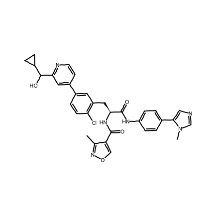 Cc1nocc1C(=O)N[C@@H](Cc1cc(-c2ccnc(C(O)C3CC3)c2)ccc1Cl)C(=O)Nc1ccc(-c2cncn2C)cc1